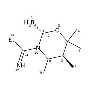 B[C@@H]1OC(C)(C)[C@@H](C)C(C)N1C(=N)CC